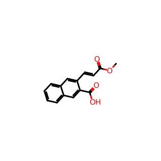 COC(=O)C=Cc1cc2ccccc2cc1C(=O)O